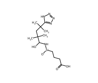 CC(C)(CC(C)(C)C(O)N[S+]([O-])CCCC(=O)O)c1nnn[nH]1